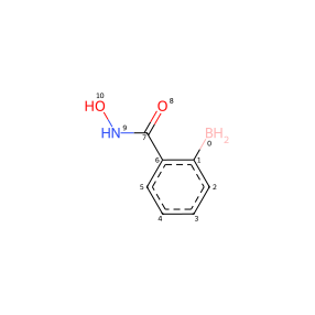 Bc1ccccc1C(=O)NO